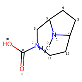 CN1C2CCC1CN(C(=O)O)CC2